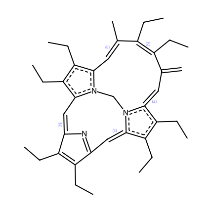 C=C1/C=c2/c(CC)c(CC)/c3n2Cn2c(c(CC)c(CC)c2/C=C(C)/C(CC)=C\1CC)/C=C1N=C(/C=3)C(CC)=C\1CC